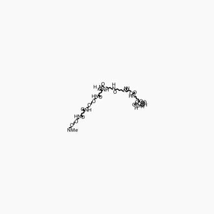 CNCCOCCOCCNC(=O)CCC(=O)NCCOCCOCCNC(=O)CCC(=O)N[C@@H](CCCCNC(=O)CCCCn1cc(COC(=O)NCCCC(O)(O[PH](=O)O)O[PH](=O)O)nn1)C(N)=O